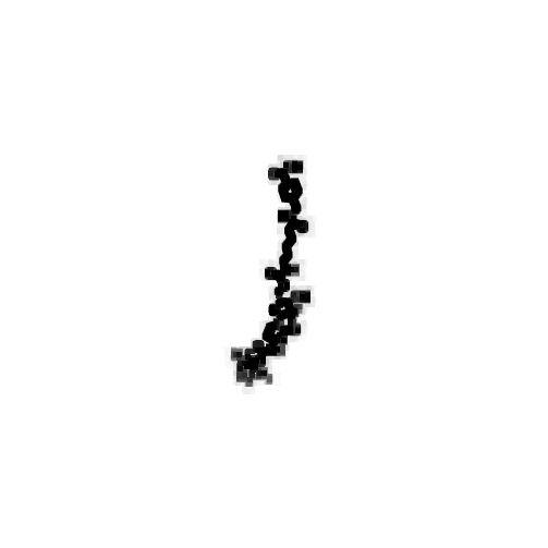 CC(C)(C)OC(=O)Nc1ccn([C@@H]2O[C@H](COC(=O)NCCCCCC(=O)NCc3ccc(C(=O)O)cc3)[C@H](O)C2(F)F)c(=O)n1